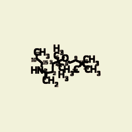 C=C(CCC(C)(C)OCCC(C)(C)C)NCCC